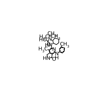 Cc1cccc(Nc2nc(N[C@@H]3CCCC[C@@H]3N(C(=O)O)C(C)(C)C)c(C)c3c2C(=O)NC3)c1